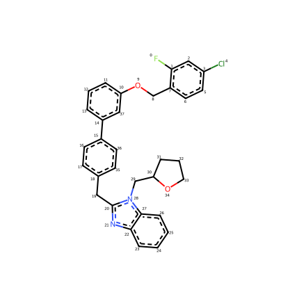 Fc1cc(Cl)ccc1COc1cccc(-c2ccc(Cc3nc4ccccc4n3CC3CCCO3)cc2)c1